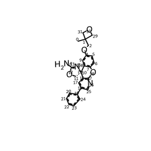 CC1(COc2ccc3c(c2)[C@@]2(COC(N)=N2)c2cc(-c4ccccc4)cnc2O3)COC1